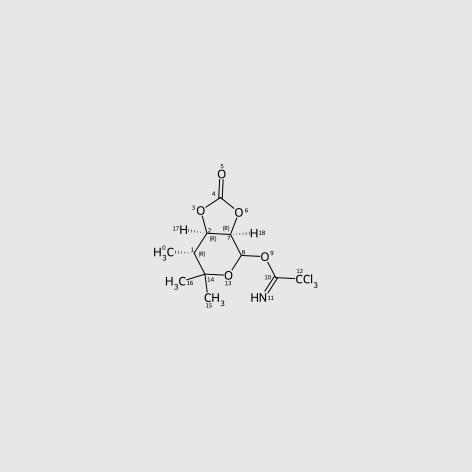 C[C@@H]1[C@H]2OC(=O)O[C@H]2C(OC(=N)C(Cl)(Cl)Cl)OC1(C)C